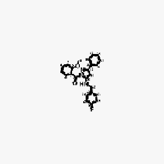 COc1ccccc1C(=O)n1nc(-c2ccccc2)cc1NCc1ccc(F)cc1